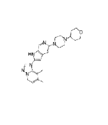 CC1=CCN2N=CN(c3cc4cc(N5CCN(C6CCOCC6)CC5)ncc4[nH]3)C2=C1C